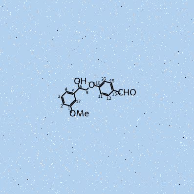 COc1cccc(C(O)COc2ccc(C=O)cc2)c1